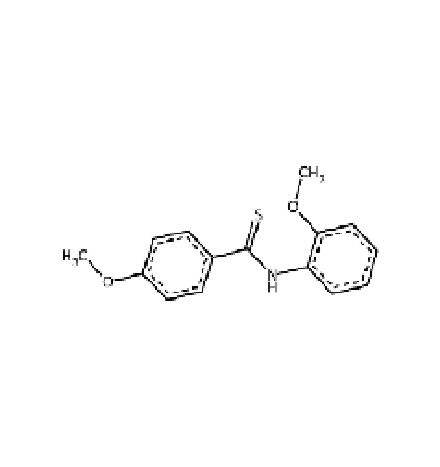 COc1ccc(C(=S)Nc2ccccc2OC)cc1